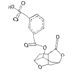 O=C(OC1C2CC3C(=O)OC1C3O2)c1cccc(S(=O)(=O)O)c1